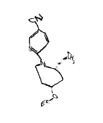 CCO[C@@H]1CCN(c2ccc(C#N)cn2)[C@H](C)C1